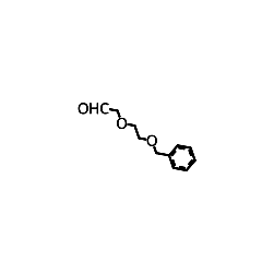 O=CCOCCOCc1ccccc1